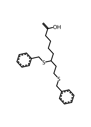 C=C(O)CCCCC(CCSCc1ccccc1)SCc1ccccc1